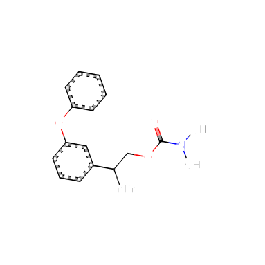 CCCC(COC(=O)N(C)C)c1cccc(Oc2ccccc2)c1